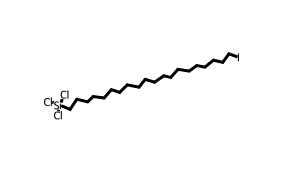 Cl[Si](Cl)(Cl)CCCCCCCCCCCCCCCCCCCCI